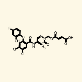 C/C=C(\C=N/N(C=O)COC(=O)/C=C/C(=O)O)NC(=O)c1cc(Cl)c(Cl)cc1Oc1ccc(F)cc1C